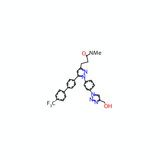 CNC(=O)CCc1cc(-c2ccc(-c3ccc(C(F)(F)F)cc3)cc2)n(-c2ccc(-n3cc(CO)nn3)cc2)n1